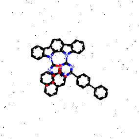 c1ccc(-c2ccc(-c3nc(-c4ccccc4)nc(-n4c5ccccc5c5ccc6c7ccccc7n(-c7nc8c(ccc9ccccc98)o7)c6c54)n3)cc2)cc1